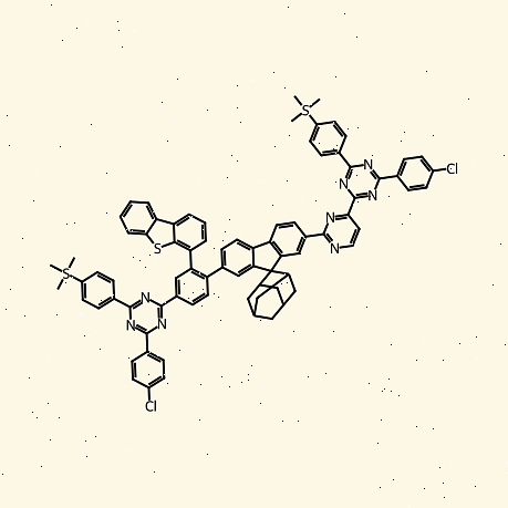 CS(C)(C)c1ccc(-c2nc(-c3ccc(Cl)cc3)nc(-c3ccc(-c4ccc5c(c4)C4(c6cc(-c7nccc(-c8nc(-c9ccc(Cl)cc9)nc(-c9ccc(S(C)(C)C)cc9)n8)n7)ccc6-5)C5CC6CC(C5)CC4C6)c(-c4cccc5c4sc4ccccc45)c3)n2)cc1